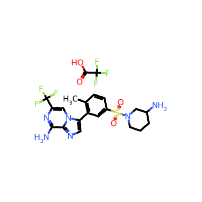 Cc1ccc(S(=O)(=O)N2CCCC(N)C2)cc1-c1cnc2c(N)nc(C(F)(F)F)cn12.O=C(O)C(F)(F)F